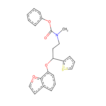 CN(CCC(Oc1cccc2ccoc12)c1cccs1)C(=O)Oc1ccccc1